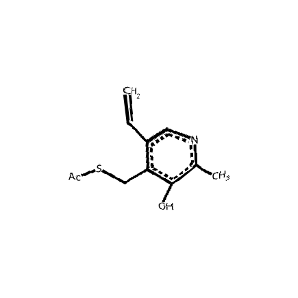 C=Cc1cnc(C)c(O)c1CSC(C)=O